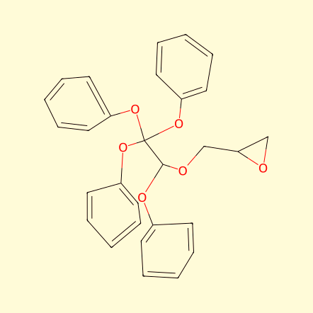 c1ccc(OC(OCC2CO2)C(Oc2ccccc2)(Oc2ccccc2)Oc2ccccc2)cc1